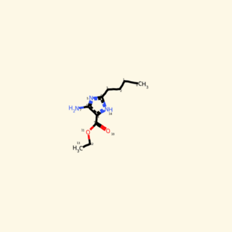 CCCCc1nc(N)c(C(=O)OCC)[nH]1